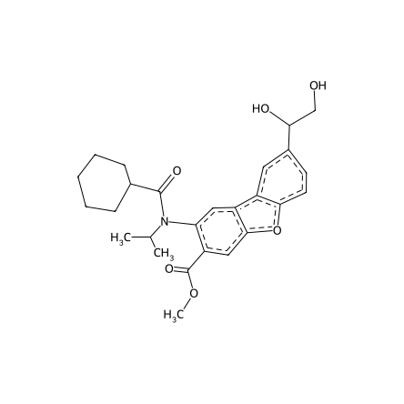 COC(=O)c1cc2oc3ccc(C(O)CO)cc3c2cc1N(C(=O)C1CCCCC1)C(C)C